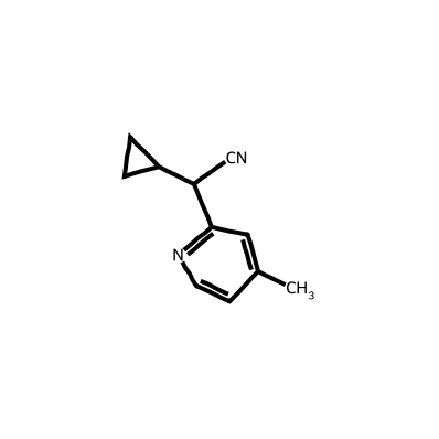 Cc1ccnc(C(C#N)C2CC2)c1